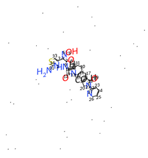 Nc1nc(/C(=N/O)C(=O)N[C@@H]2C(=O)N3C(C(=O)O)=C(C=C4CCN(c5ccccn5)C4=O)CC[C@H]23)cs1